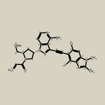 C=CC(=O)N1C[C@@H](n2nc(C#Cc3c(Cl)cc4c(nc(C)n4C)c3F)c3c(N)nccc32)C[C@@H]1COC